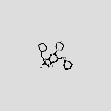 O=c1[nH]c2cc(Nc3ccccc3)c(N3CCSCC3)cc2n1CC1CCCCC1